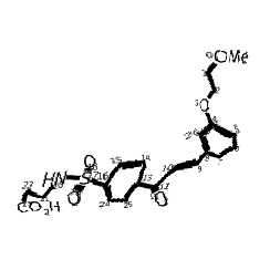 COCCOc1cccc(/C=C/C(=O)c2ccc(S(=O)(=O)NCCC(=O)O)cc2)c1